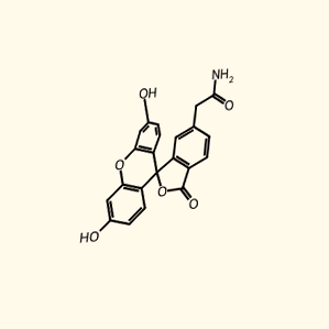 NC(=O)Cc1ccc2c(c1)C1(OC2=O)c2ccc(O)cc2Oc2cc(O)ccc21